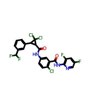 O=C(Nc1ncc(F)cc1F)c1cc(NC(=O)C2C(c3cccc(C(F)F)c3)C2(Cl)Cl)ccc1Cl